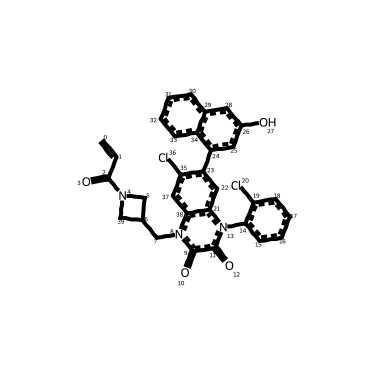 C=CC(=O)N1CC(Cn2c(=O)c(=O)n(-c3ccccc3Cl)c3cc(-c4cc(O)cc5ccccc45)c(Cl)cc32)C1